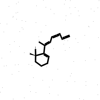 C=C/C=C\C=C(/C)C1=CCCC[C@]1(C)I